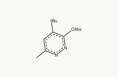 COc1nnc(C)cc1C(C)(C)C